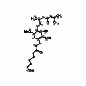 CCCCCCCCCCCCCCCC(=O)OCc1cc(OC)c(C/C=C(\C)CC(=O)C=C(C)C)c(O)c1C=O